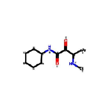 CCCC(NCC)C(=O)C(=O)NC1CCCCC1